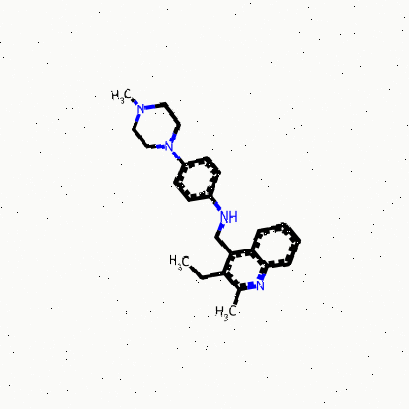 CCc1c(C)nc2ccccc2c1CNc1ccc(N2CCN(C)CC2)cc1